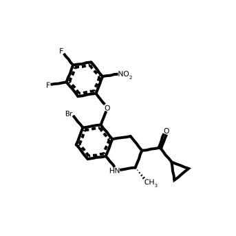 C[C@@H]1Nc2ccc(Br)c(Oc3cc(F)c(F)cc3[N+](=O)[O-])c2CC1C(=O)C1CC1